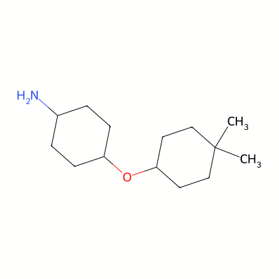 CC1(C)CCC(OC2CCC(N)CC2)CC1